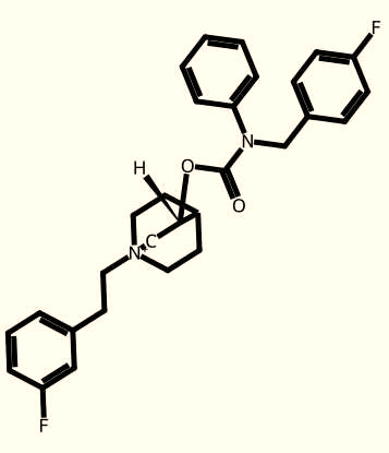 O=C(O[C@H]1C[N+]2(CCc3cccc(F)c3)CCC1CC2)N(Cc1ccc(F)cc1)c1ccccc1